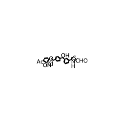 CC(=O)c1ccc(OCc2ccc(C(O)c3cccc(C4=CSC(C=O)N4)c3)cc2)c(Cl)c1O